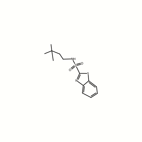 CC(C)(C)CCNS(=O)(=O)c1nc2ccccc2s1